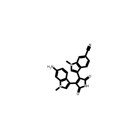 Cn1cc(C2=C(c3cn(C)c4cc(C#N)ccc34)C(=O)NC2=O)c2ccc(N)cc21